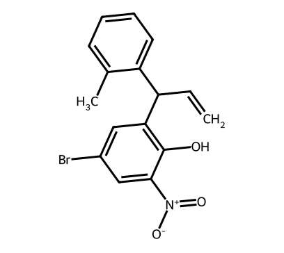 C=CC(c1ccccc1C)c1cc(Br)cc([N+](=O)[O-])c1O